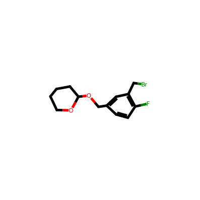 Fc1ccc(COC2CCCCO2)cc1CBr